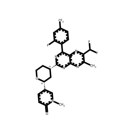 Cc1nc2nc([C@H]3CCO[C@@H](c4ccc(=O)n(C)c4)C3)nc(-c3ccc(C(F)(F)F)cc3F)c2nc1C(F)F